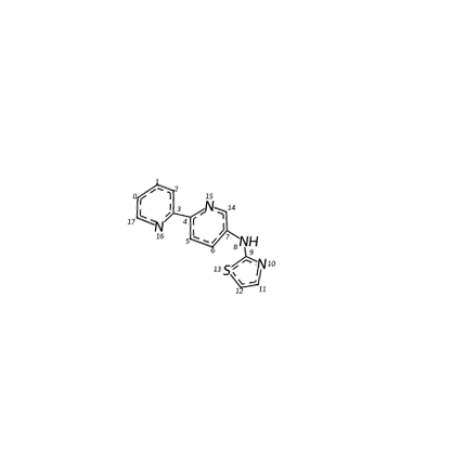 c1ccc(-c2ccc(Nc3nccs3)cn2)nc1